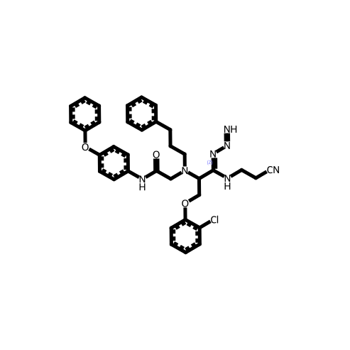 N#CCCN/C(=N\N=N)C(COc1ccccc1Cl)N(CCCc1ccccc1)CC(=O)Nc1ccc(Oc2ccccc2)cc1